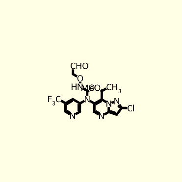 COC(C)c1c(N(C(=O)NOCC=O)c2cncc(C(F)(F)F)c2)cnc2cc(Cl)nn12